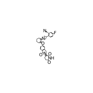 N#Cc1cc(F)ccc1C1CN([C@H]2CCCC[C@H]2Oc2ccc3c(c2)CN([C@@H]2CCC(=O)NC2=O)C3=O)C1